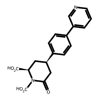 O=C(O)[C@H]1C[C@@H](c2ccc(-c3cccnc3)cc2)CC(=O)N1C(=O)O